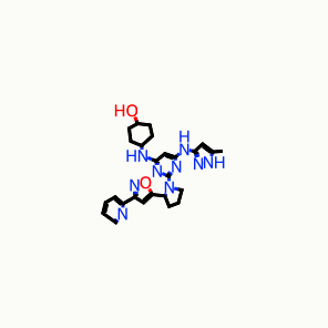 Cc1cc(Nc2cc(NC3CCC(O)CC3)nc(N3CCCC3c3cc(-c4ccccn4)no3)n2)n[nH]1